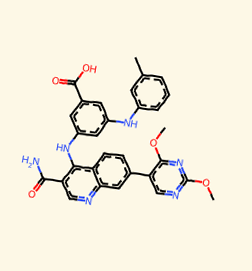 COc1ncc(-c2ccc3c(Nc4cc(Nc5cccc(C)c5)cc(C(=O)O)c4)c(C(N)=O)cnc3c2)c(OC)n1